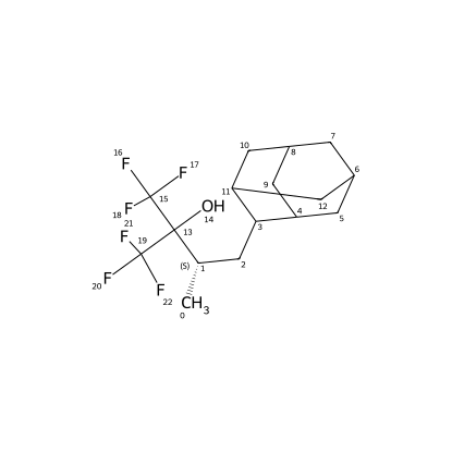 C[C@@H](CC1C2CC3CC(C2)CC1C3)C(O)(C(F)(F)F)C(F)(F)F